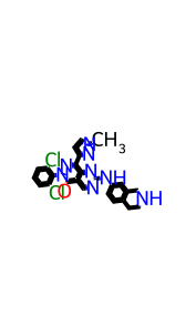 Cn1ccc(-c2nn(-c3c(Cl)cccc3Cl)c(=O)c3cnc(Nc4ccc5c(c4)CNCC5)nc23)n1